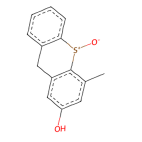 Cc1cc(O)cc2c1[S+]([O-])c1ccccc1C2